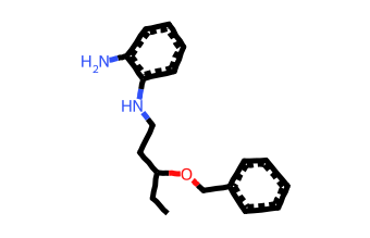 CCC(CCNc1ccccc1N)OCc1ccccc1